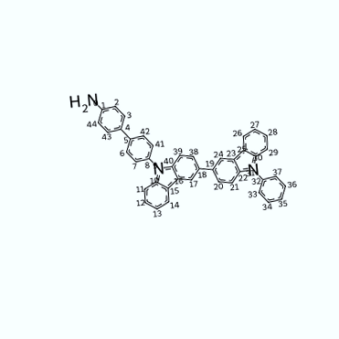 Nc1ccc(-c2ccc(-n3c4ccccc4c4cc(-c5ccc6c(c5)c5ccccc5n6-c5ccccc5)ccc43)cc2)cc1